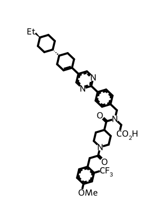 CC[C@H]1CC[C@H](C2CC=C(c3cnc(-c4ccc(CN(CC(=O)O)C(=O)C5CCN(C(=O)Cc6ccc(OC)cc6C(F)(F)F)CC5)cc4)nc3)CC2)CC1